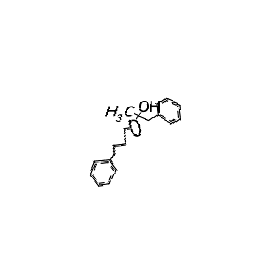 CC(O)(Cc1ccccc1)OCCCc1ccccc1